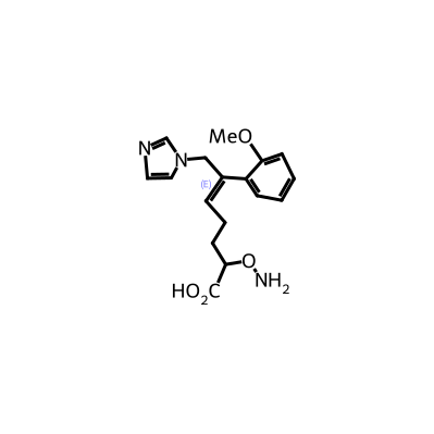 COc1ccccc1/C(=C\CCC(ON)C(=O)O)Cn1ccnc1